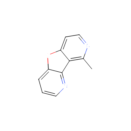 Cc1nccc2oc3cccnc3c12